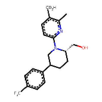 Cc1nc(N2CC(c3ccc(C(F)(F)F)cc3)CC[C@H]2CO)ccc1C(=O)O